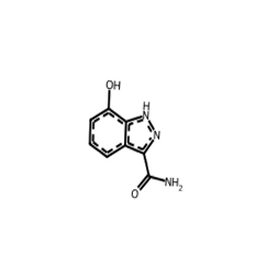 NC(=O)c1n[nH]c2c(O)cccc12